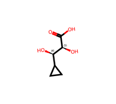 O=C(O)[C@@H](O)[C@H](O)C1CC1